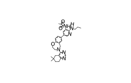 CCCNc1ncc(-c2ccc3c(c2)CN(c2ncnc4c2CC(C)(C)CC4)CCO3)cc1NS(C)(=O)=O